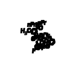 CCCN(CCC)C(=O)c1cc(C)cc(C(=O)N[C@@H](Cc2cc(F)cc(F)c2)[C@H](O)C2NCCN(Cc3cccc(OC)c3)C2=O)c1